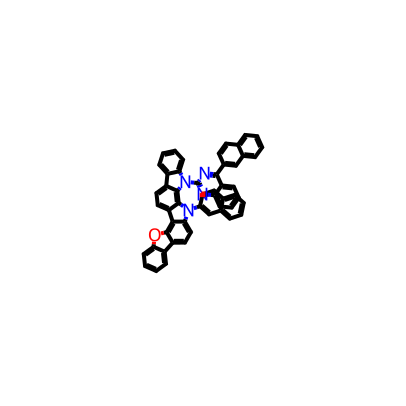 c1ccc2cc(-c3nc(-n4c5ccccc5c5ccc6c7c8oc9ccccc9c8ccc7n(-c7ccc8ccccc8c7)c6c54)nc4ccccc34)ccc2c1